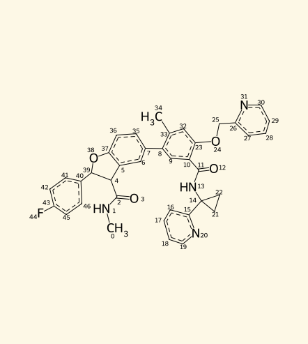 CNC(=O)C1c2cc(-c3cc(C(=O)NC4(c5ccccn5)CC4)c(OCc4ccccn4)cc3C)ccc2OC1c1ccc(F)cc1